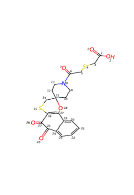 O=C(O)CSCC(=O)N1CCC2(CC1)CSC1=C(O2)c2ccccc2C(=O)C1=O